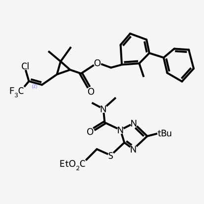 CCOC(=O)CSc1nc(C(C)(C)C)nn1C(=O)N(C)C.Cc1c(COC(=O)C2C(/C=C(\Cl)C(F)(F)F)C2(C)C)cccc1-c1ccccc1